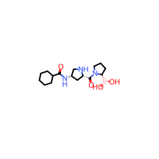 O=C(N[C@@H]1CN[C@H](C(=O)N2CCC[C@H]2B(O)O)C1)C1CCCCC1